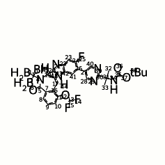 BC(B)(B)N1C(=O)c2cccc(OC(F)F)c2[C@H]2C[C@@H]1c1nc3cc(F)c(-c4cnc(C(C)(C)NC(=O)OC(C)(C)C)nc4)cc3n12